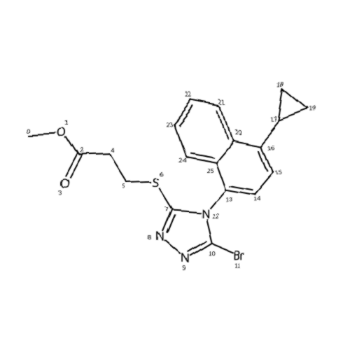 COC(=O)CCSc1nnc(Br)n1-c1ccc(C2CC2)c2ccccc12